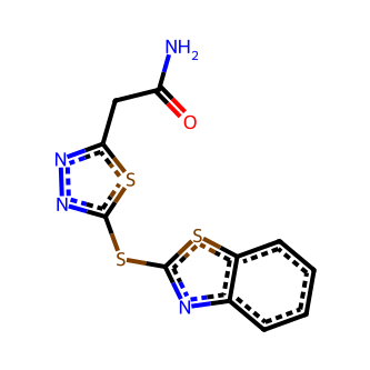 NC(=O)Cc1nnc(Sc2nc3ccccc3s2)s1